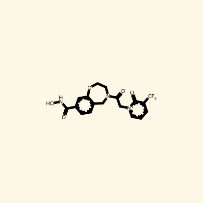 O=C(NO)c1ccc2c(c1)OCCN(C(=O)Cn1cccc(C(F)(F)F)c1=O)C2